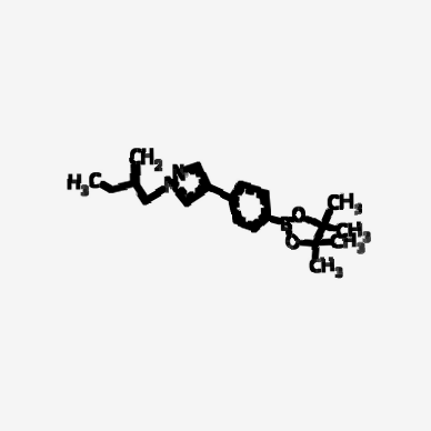 C=C(CC)Cn1cc(-c2ccc(B3OC(C)(C)C(C)(C)O3)cc2)cn1